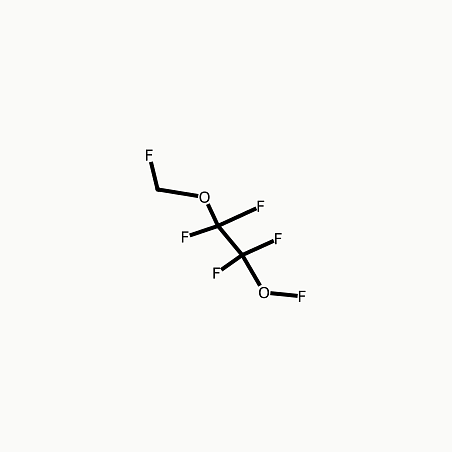 FCOC(F)(F)C(F)(F)OF